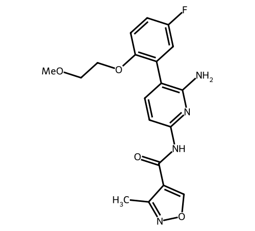 COCCOc1ccc(F)cc1-c1ccc(NC(=O)c2conc2C)nc1N